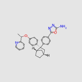 CC(Oc1ccc([C@]2(c3ccc(-c4nnc(N)o4)cc3)C[C@@H]3CC[C@H]2C3)cc1)c1ccccn1